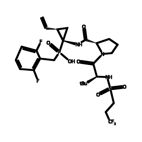 C=C[C@@H]1C[C@]1(NC(=O)[C@@H]1CCCN1C(=O)[C@@H](NS(=O)(=O)CCC(F)(F)F)C(C)(C)C)P(=O)(O)Cc1c(F)cccc1F